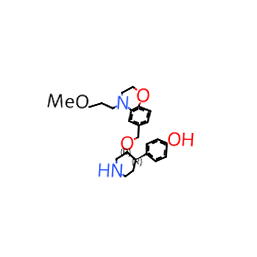 COCCCN1CCOc2ccc(CO[C@H]3CNCC[C@@H]3c3ccc(O)cc3)cc21